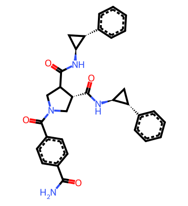 NC(=O)c1ccc(C(=O)N2CC(C(=O)N[C@H]3C[C@@H]3c3ccccc3)[C@H](C(=O)N[C@H]3C[C@@H]3c3ccccc3)C2)cc1